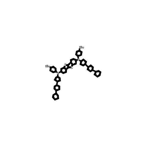 CC(C)(C)c1ccc(N(c2ccc(-c3ccc(-c4ccccc4)cc3)cc2)c2ccc3c(c2)sc2c4ccc(N(c5ccc(-c6ccc(-c7ccccc7)cc6)cc5)c5ccc(C(C)(C)C)cc5)cc4sc32)cc1